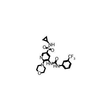 O=C(Nc1cccc(C(F)(F)F)c1)Nc1cc(S(=O)(=O)NC2CC2)cnc1N1CCOCC1